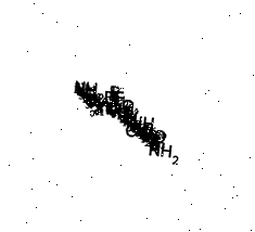 CCC(Cc1ccc(-n2ccc(NC(=O)N3CCN(C(=O)C(C)(C)N)CC3)nc2=O)cc1C(F)(F)F)N1CC2C(CN)[C@H]2C1